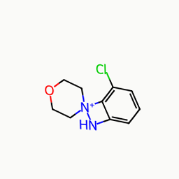 Clc1cccc2c1[N+]1(CCOCC1)N2